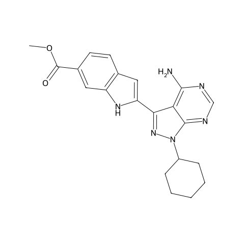 COC(=O)c1ccc2cc(-c3nn(C4CCCCC4)c4ncnc(N)c34)[nH]c2c1